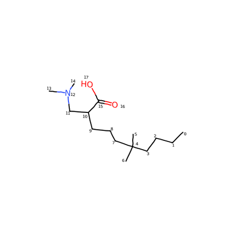 CCCCC(C)(C)CCCC(CN(C)C)C(=O)O